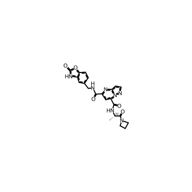 C[C@H](NC(=O)c1cc(C(=O)NCc2ccc3oc(=O)[nH]c3c2)nc2ccnn12)C(=O)N1CCC1